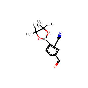 CC1(C)OB(c2ccc(C=O)cc2C#N)OC1(C)C